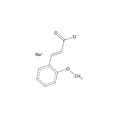 COc1ccccc1C=CC(=O)[O-].[Na+]